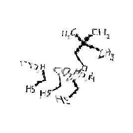 CCC(C)(C)C.O=C(O)CS.O=C(O)CS.O=C(O)CS